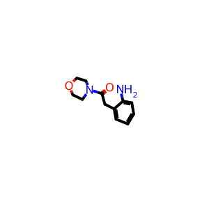 Nc1ccccc1CC(=O)N1CCOCC1